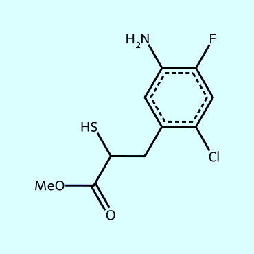 COC(=O)C(S)Cc1cc(N)c(F)cc1Cl